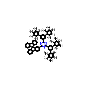 [2H]c1c([2H])c([2H])c(-c2cc(-c3nc(-c4cc(-c5c([2H])c([2H])c([2H])c([2H])c5[2H])cc(-c5c([2H])c([2H])c([2H])c([2H])c5[2H])c4)nc(-c4ccc5c(c4)C4(c6ccccc6-c6ccccc64)c4ccccc4-5)n3)cc(-c3c([2H])c([2H])c([2H])c([2H])c3[2H])c2)c([2H])c1[2H]